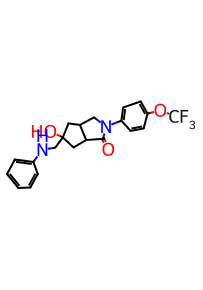 O=C1C2CC(O)(CNc3ccccc3)CC2CN1c1ccc(OC(F)(F)F)cc1